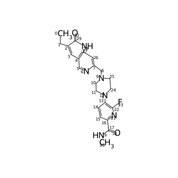 CCc1cc2cnc(CN3CCN(c4ccc(C(=O)NC)nc4F)CC3)cc2[nH]c1=O